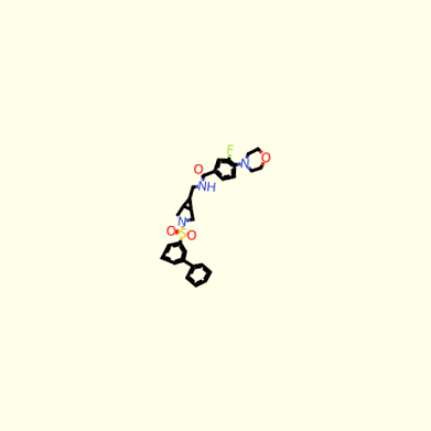 O=C(NCC1C2CN(S(=O)(=O)c3cccc(-c4ccccc4)c3)CC12)c1ccc(N2CCOCC2)c(F)c1